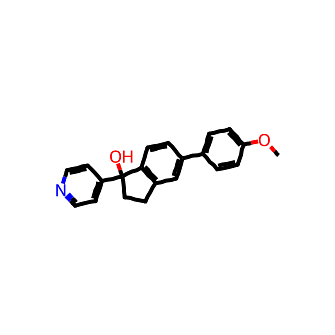 COc1ccc(-c2ccc3c(c2)CCC3(O)c2ccncc2)cc1